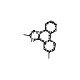 Cc1ccc2c3ccccc3n3cc(C)nc3c2c1